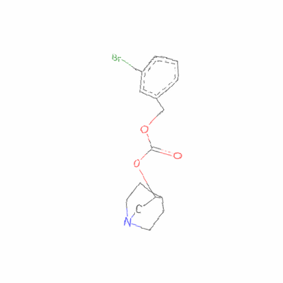 O=C(OCc1cccc(Br)c1)OC1CN2CCC1CC2